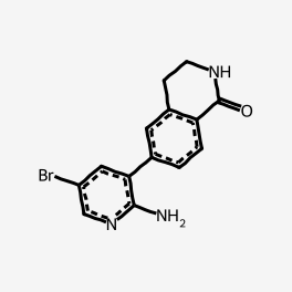 Nc1ncc(Br)cc1-c1ccc2c(c1)CCNC2=O